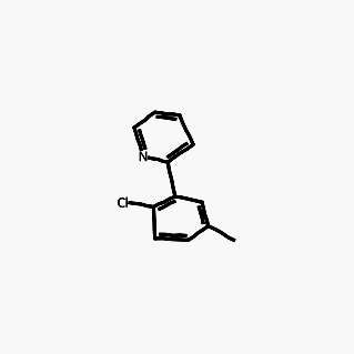 Cc1ccc(Cl)c(-c2ccccn2)c1